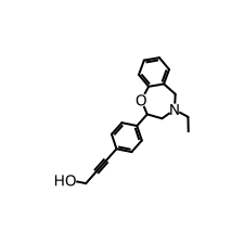 CCN1Cc2ccccc2OC(c2ccc(C#CCO)cc2)C1